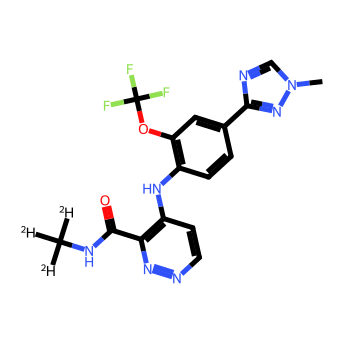 [2H]C([2H])([2H])NC(=O)c1nnccc1Nc1ccc(-c2ncn(C)n2)cc1OC(F)(F)F